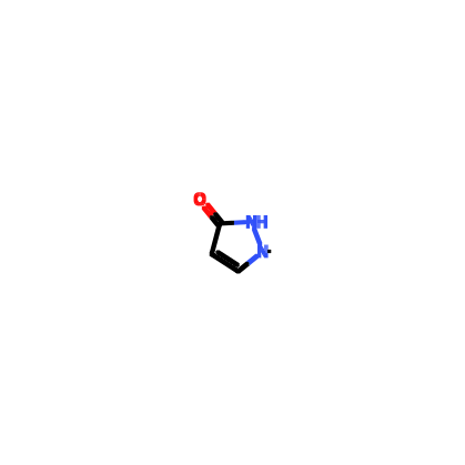 O=C1C=C[N]N1